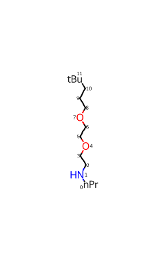 CCCNCCOCCOCCCC(C)(C)C